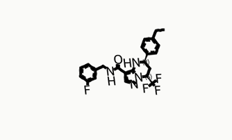 CCc1ccc([C@H]2C[C@@H](C(F)(F)F)n3ncc(C(=O)NCc4cccc(F)c4)c3N2)cc1